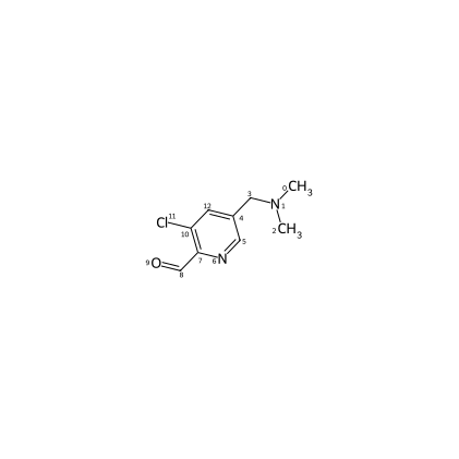 CN(C)Cc1cnc(C=O)c(Cl)c1